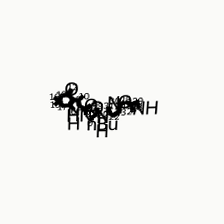 CCCCC(NC(=O)c1[nH]c2c(c1C)C(=O)CC(C)(C)C2)C(=O)Nc1ccc(OC2CNC2)nc1